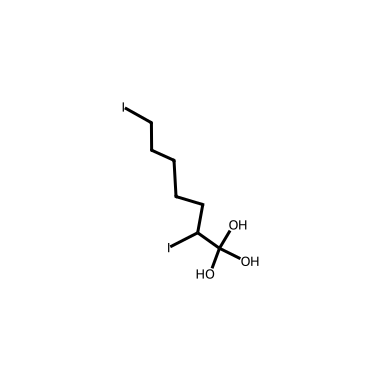 OC(O)(O)C(I)CCCCCI